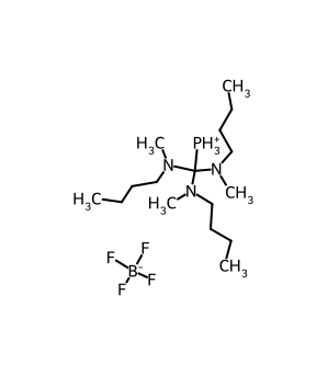 CCCCN(C)C([PH3+])(N(C)CCCC)N(C)CCCC.F[B-](F)(F)F